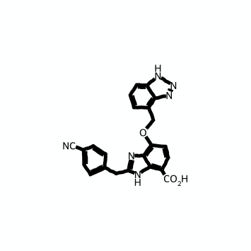 N#Cc1ccc(Cc2nc3c(OCc4cccc5[nH]nnc45)ccc(C(=O)O)c3[nH]2)cc1